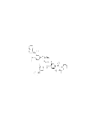 COc1cc2c(cc1OCc1cc(COc3cc4c(cc3OC)C(=O)N3c5ccccc5CC3CN4)cc([N+](=O)[O-])c1)N=C[C@@H]1Cc3ccccc3N1C2=O